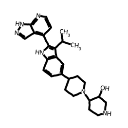 CC(C)c1c(-c2ccnc3[nH]ncc23)[nH]c2ccc(C3CCN(C4CCNCC4O)CC3)cc12